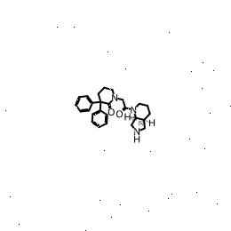 O=C(CN1CCCC(c2ccccc2)(c2ccccc2)C1=O)N1CCC[C@H]2CNC[C@H]21